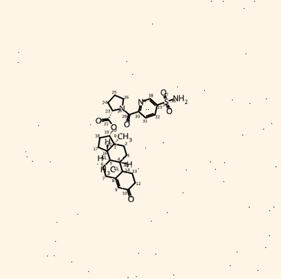 C[C@]12CC[C@H]3[C@@H](CCC4=CC(=O)CC[C@@]43C)[C@@H]1CC[C@@H]2OC(=O)[C@@H]1CCCN1C(=O)c1ccc(S(N)(=O)=O)cn1